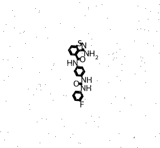 Nc1nsc2cccc(C(=O)Nc3ccc(NC(=O)Nc4cccc(F)c4)cc3)c12